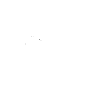 CC(C)OC1CCC(CCCCN2CCN(C(C)C)C(C(F)(F)F)C2)CC1